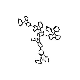 c1ccc(-n2c3ccccc3c3cc(-c4ccc5c(c4)c4ccccc4n5-c4cc(-c5ccc6c(c5)C(c5ccccc5)(c5ccccc5)c5ccccc5-6)nc(-n5c6ccccc6c6cc(-c7ccc8c(c7)c7ccccc7n8-c7ccccc7)ccc65)n4)ccc32)cc1